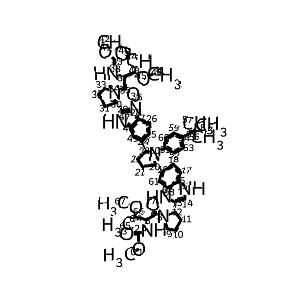 COC(=O)N[C@H](C(=O)N1CCC[C@H]1C1=CNc2ccc([C@@H]3CC[C@@H](c4ccc5nc([C@@H]6CCCN6C(=O)[C@@H](NC(=O)OC)[C@@H](C)OC)[nH]c5c4)N3c3ccc(C(C)(C)C)cc3)cc2N1)[C@@H](C)OC